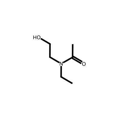 CCN(CCO)C(C)=O